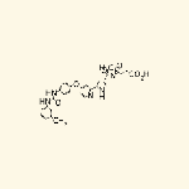 Cc1cccc(NC(=O)Nc2ccc(Oc3ccnc(-c4cc(C(=O)N=S(C)(=O)CCC(=O)O)c[nH]4)c3)cc2)c1